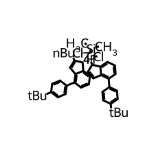 CCCCC1=Cc2c(-c3ccc(C(C)(C)C)cc3)cccc2[CH]1[Zr]([Cl])([Cl])([CH]1C=Cc2c(-c3ccc(C(C)(C)C)cc3)cccc21)[SiH](C)C